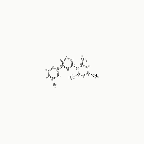 Cc1cc(C)c(-c2ccnc(-c3cccc(Br)c3)c2)c(C)c1